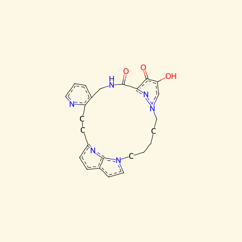 O=C1NCc2cccnc2CCc2ccc3ccn(c3n2)CCCCCn2cc(O)c(=O)c1n2